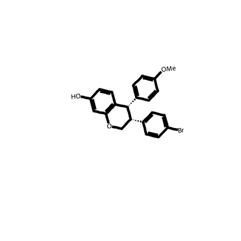 COc1ccc([C@H]2c3ccc(O)cc3OC[C@H]2c2ccc(Br)cc2)cc1